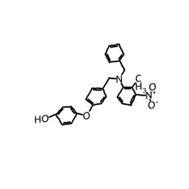 Cc1c(N(Cc2ccccc2)Cc2ccc(Oc3ccc(O)cc3)cc2)cccc1[N+](=O)[O-]